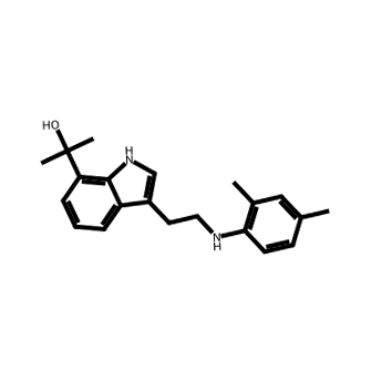 Cc1ccc(NCCc2c[nH]c3c(C(C)(C)O)cccc23)c(C)c1